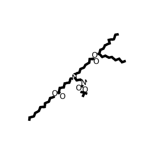 CCCCCCCCCCCOC(=O)CCCCCN(CCCCCCCC(=O)OC(CCCCCCCC)CCCCCCCC)CCN(C)C(=O)OC(C)(C)C